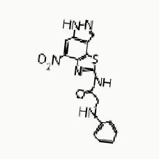 O=C(CNc1ccccc1)Nc1nc2c([N+](=O)[O-])cc3[nH]ncc3c2s1